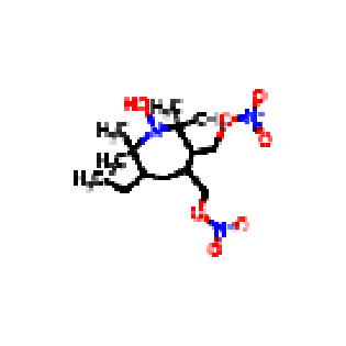 CCC1CC(CO[N+](=O)[O-])C(CO[N+](=O)[O-])C(C)(C)N(O)C1(C)C